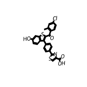 Cc1cc(Cl)ccc1C(=O)c1sc2cc(O)ccc2c1-c1ccc(-c2nc(C(=O)O)cs2)cc1